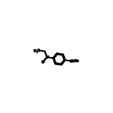 CC(=O)Nc1ccc([S+]([O-])CN)cc1